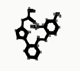 COC(=O)Cc1ccc(-c2ccccc2OCc2ccc(C(F)(F)F)cc2C(=O)O)s1